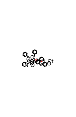 CCOc1ccc(Cc2cc([C@]34OC[C@](Sc5ccccn5)(O3)[C@@H](OCc3ccccc3)[C@H](OCc3ccccc3)[C@H]4OCc3ccccc3)ccc2Cl)cc1